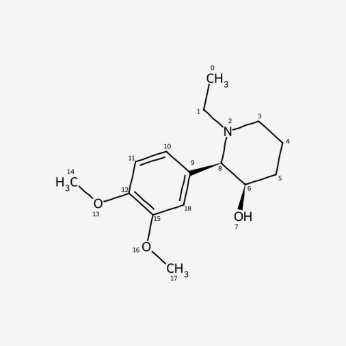 CCN1CCC[C@@H](O)[C@H]1c1ccc(OC)c(OC)c1